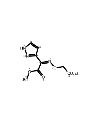 CCOC(=O)CON=C(C(=O)OC(C)(C)C)c1cc[nH]n1